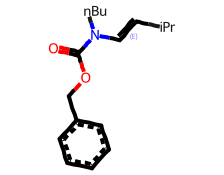 CCCCN(/C=C/C(C)C)C(=O)OCc1ccccc1